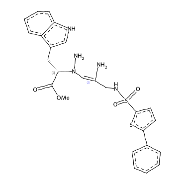 COC(=O)[C@H](Cc1c[nH]c2ccccc12)N(N)/C=C(\N)CNS(=O)(=O)c1ccc(-c2ccccc2)s1